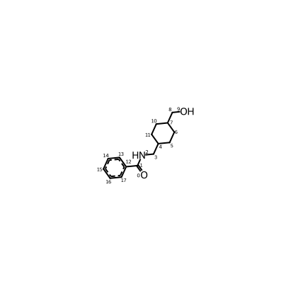 O=C(NCC1CCC(CO)CC1)c1ccccc1